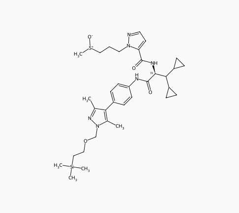 Cc1nn(COCC[Si](C)(C)C)c(C)c1-c1ccc(NC(=O)[C@@H](NC(=O)c2ccnn2CCC[S+](C)[O-])C(C2CC2)C2CC2)cc1